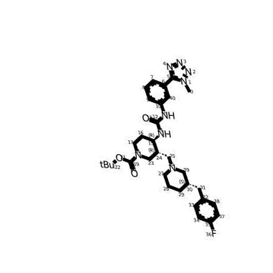 Cn1nnnc1-c1cccc(NC(=O)N[C@@H]2CCN(C(=O)OC(C)(C)C)C[C@H]2CN2CCC[C@@H](Cc3ccc(F)cc3)C2)c1